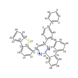 c1ccc(-c2ccc(-c3cc(-c4cccc5c4sc4ccccc45)nc(-c4ccccc4-c4ccccc4)n3)cc2)cc1